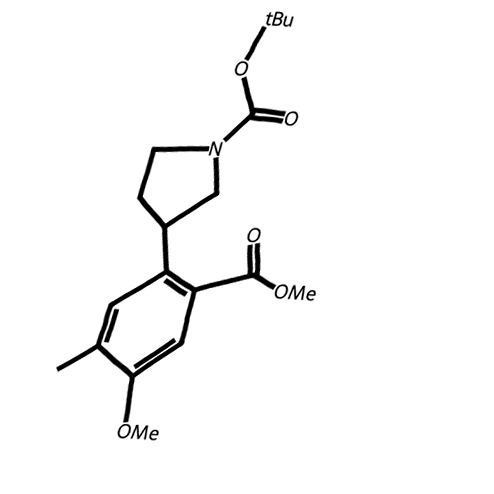 COC(=O)c1cc(OC)c(C)cc1C1CCN(C(=O)OC(C)(C)C)C1